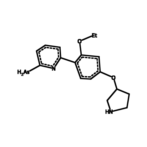 CCOc1cc(OC2CCNC2)ccc1-c1cccc([AsH2])n1